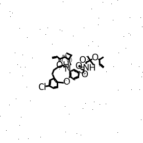 C=CC(C)OC(C)(C)C(=O)NS(=O)(=O)c1ccc2c(c1)N(C[C@@H]1CC[C@H]1[C@@H](O)C=C)CCCCc1cc(Cl)ccc1CO2